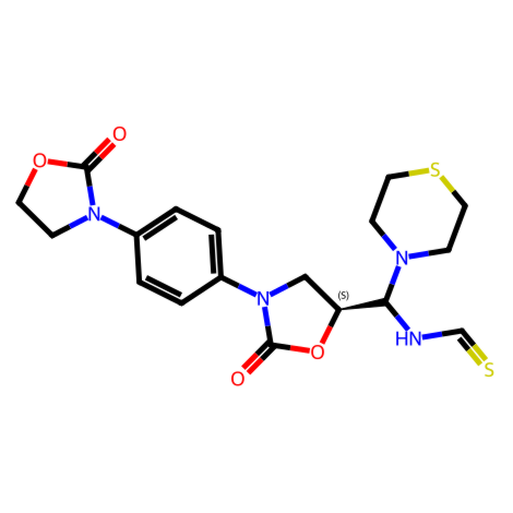 O=C1OCCN1c1ccc(N2C[C@@H](C(NC=S)N3CCSCC3)OC2=O)cc1